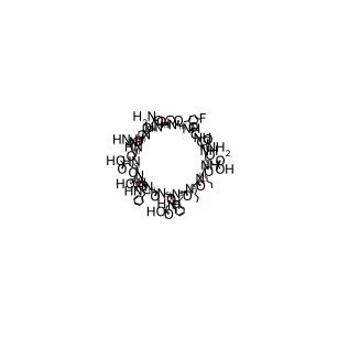 CCCC[C@H]1C(=O)N(C)[C@@H](CCCC)C(=O)N[C@@H](CCC(=O)O)C(=O)N[C@H](C(N)=O)CNCC(=O)N[C@@H](Cc2ccc(F)cc2)C(=O)N2CCCC[C@H]2C(=O)N[C@@H](CC(N)=O)C(=O)N2CCC[C@H]2C(=O)N[C@@H](Cc2c[nH]cn2)C(=O)N[C@@H](CCC(=O)O)C(=O)N2C[C@H](O)C[C@H]2C(=O)N[C@@H](Cc2c[nH]c3ccccc23)C(=O)N[C@@H](C)C(=O)N[C@@H](Cc2cn(CC(=O)O)c3ccccc23)C(=O)N1C